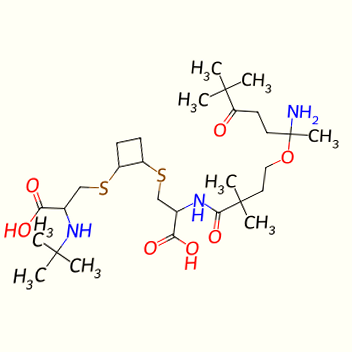 CC(C)(C)NC(CSC1CCC1SCC(NC(=O)C(C)(C)CCOC(C)(N)CCC(=O)C(C)(C)C)C(=O)O)C(=O)O